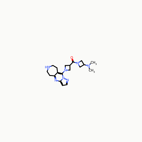 CN(C)C1CN(C(=O)C2CN(c3c4c(nc5ccnn35)CCNCC4)C2)C1